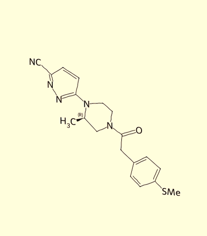 CSc1ccc(CC(=O)N2CCN(c3ccc(C#N)nn3)[C@H](C)C2)cc1